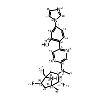 [2H][C@]12C[C@@H](N(C)c3cnc(-c4ccc(-n5ccnc5)cc4O)cn3)[C@H](F)[C@](C)(C[C@H]1F)N2